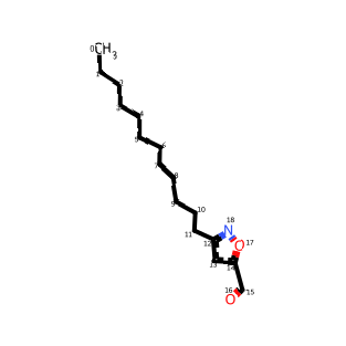 CCCCCCCCCCCCc1cc(C=O)on1